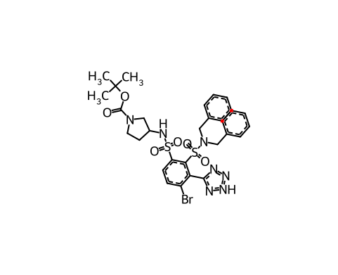 CC(C)(C)OC(=O)N1CCC(NS(=O)(=O)c2ccc(Br)c(-c3nn[nH]n3)c2S(=O)(=O)N(Cc2ccccc2)Cc2ccccc2)C1